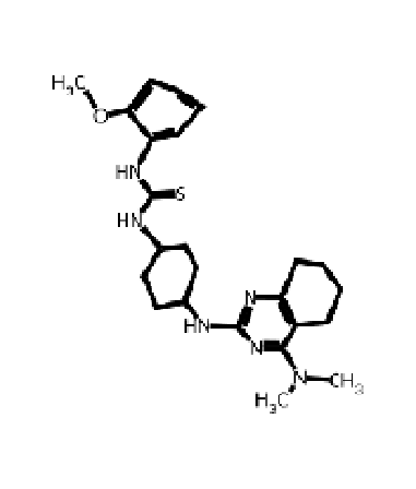 COc1ccccc1NC(=S)NC1CCC(Nc2nc3c(c(N(C)C)n2)CCCC3)CC1